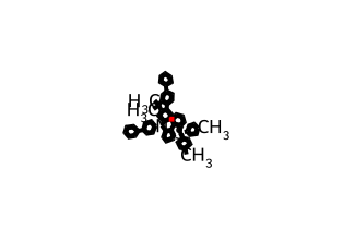 Cc1ccc(S2(c3ccc(C)cc3)c3ccccc3-c3c(N(c4ccc(-c5ccccc5)cc4)c4ccc5c(c4)C(C)(C)c4cc(-c6ccccc6)ccc4-5)cccc32)cc1